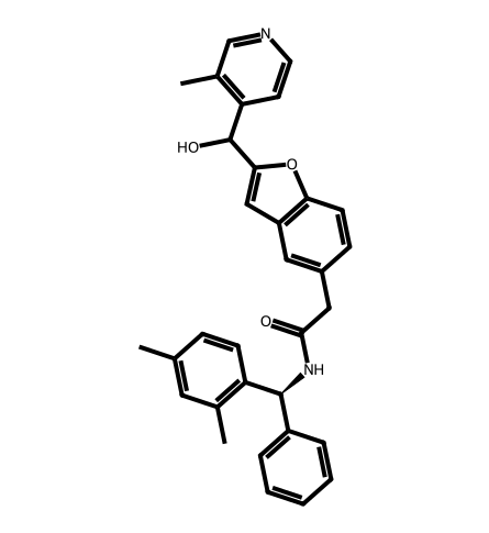 Cc1ccc([C@@H](NC(=O)Cc2ccc3oc(C(O)c4ccncc4C)cc3c2)c2ccccc2)c(C)c1